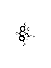 CSc1ccc2c(=O)c3ccc(Cl)c(Cl)c3n(CC(=O)O)c2c1